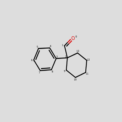 O=CC1(c2cc[c]cc2)CCCCC1